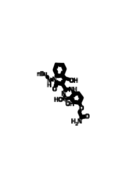 CCCCNn1c(=O)c(C2=NS(O)(O)c3cc(OCC(N)=O)ccc3N2)c(O)c2ccccc21